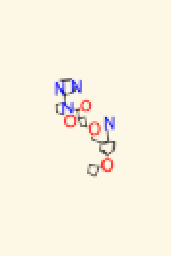 N#Cc1ccc(OC2CCC2)cc1COC1CC2(C1)OC1CC[C@@H](c3cnccn3)N1C2=O